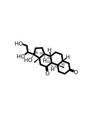 C[C@]12CCC(=O)C[C@H]1CC[C@@H]1[C@@H]2C(=O)C[C@@]2(C)[C@H]1CC[C@]2(O)C(O)CO